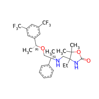 CCC1(CN[C@](C)(CO[C@H](C)c2cc(C(F)(F)F)cc(C(F)(F)F)c2)c2ccccc2)NC(=O)OC1(C)C